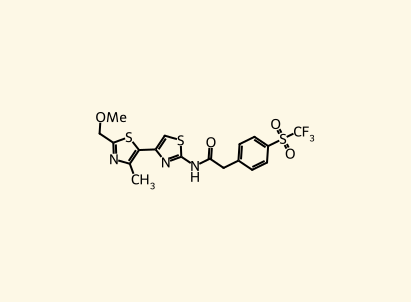 COCc1nc(C)c(-c2csc(NC(=O)Cc3ccc(S(=O)(=O)C(F)(F)F)cc3)n2)s1